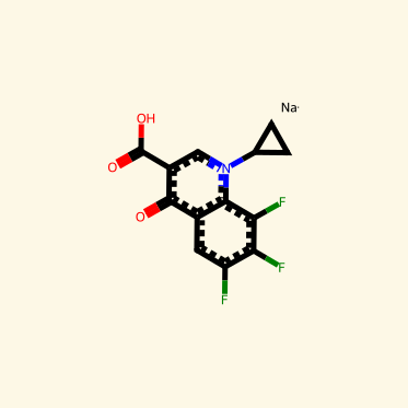 O=C(O)c1cn(C2CC2)c2c(F)c(F)c(F)cc2c1=O.[Na]